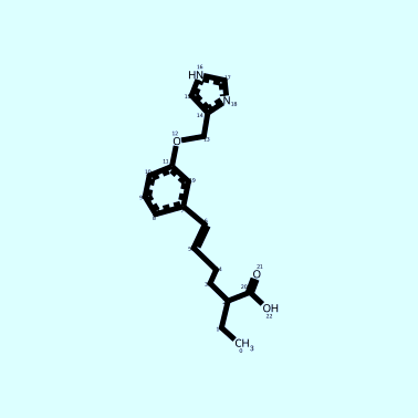 CCC(CCC=Cc1cccc(OCc2c[nH]cn2)c1)C(=O)O